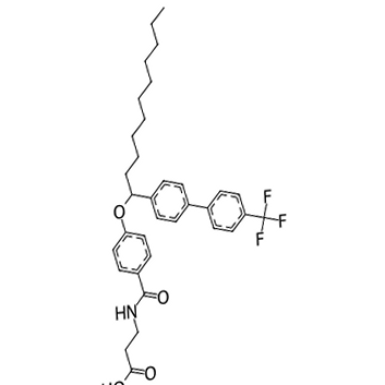 CCCCCCCCCCC(Oc1ccc(C(=O)NCCC(=O)O)cc1)c1ccc(-c2ccc(C(F)(F)F)cc2)cc1